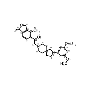 COc1cc(N2CCC3(CCN(CC(O)c4ccc5c(c4C)COC5=O)CC3)C2)nc(OC)n1